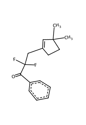 CC1(C)C=C(CC(F)(F)C(=O)c2ccccc2)CC1